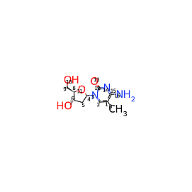 Cc1cn(C2C[C@H](O)[C@@H](CO)O2)c(=O)nc1N